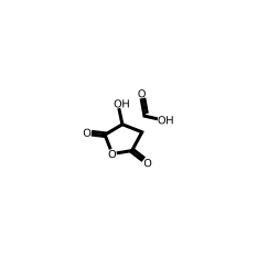 O=C1CC(O)C(=O)O1.O=CO